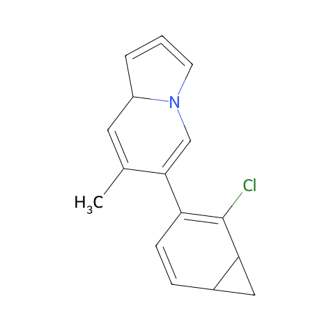 CC1=CC2C=C=CN2C=C1C1=C(Cl)C2CC2C=C1